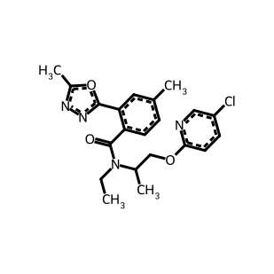 CCN(C(=O)c1ccc(C)cc1-c1nnc(C)o1)C(C)COc1ccc(Cl)cn1